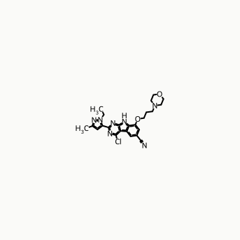 CCn1nc(C)cc1-c1nc(Cl)c2c(n1)[nH]c1c(OCCCN3CCOCC3)cc(C#N)cc12